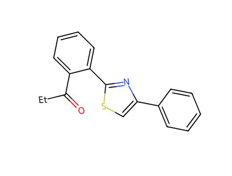 CCC(=O)c1ccccc1-c1nc(-c2ccccc2)cs1